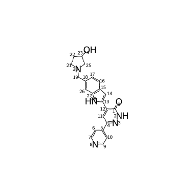 O=c1[nH]nc(-c2ccncc2)cc1-c1cc2ccc(CN3CCC(O)C3)cc2[nH]1